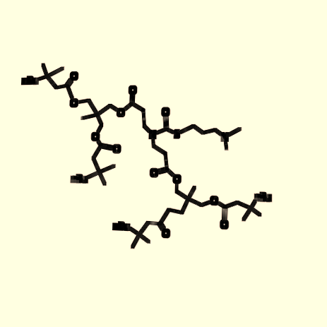 CCCCC(C)(C)CC(=O)CCC(C)(COC(=O)CCN(CCC(=O)OCC(C)(COC(=O)CC(C)(C)CCCC)COC(=O)CC(C)(C)CCCC)C(=O)SCCCN(C)C)COC(=O)CC(C)(C)CCCC